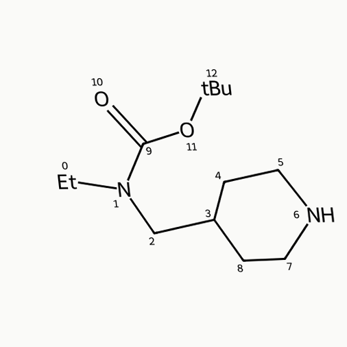 CCN(CC1CCNCC1)C(=O)OC(C)(C)C